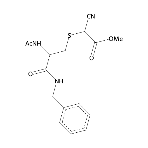 COC(=O)C(C#N)SCC(NC(C)=O)C(=O)NCc1ccccc1